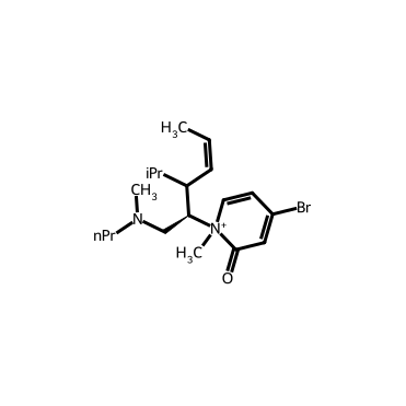 C/C=C\C(C(C)C)[C@H](CN(C)CCC)[N+]1(C)C=CC(Br)=CC1=O